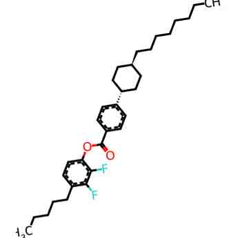 CCCCCCCC[C@H]1CC[C@H](c2ccc(C(=O)Oc3ccc(CCCCC)c(F)c3F)cc2)CC1